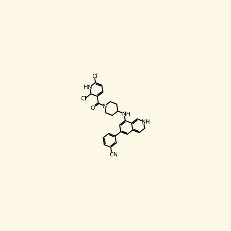 N#Cc1cccc(-c2cc(NC3CCN(C(=O)C4=CC=C(Cl)NC4Cl)CC3)c3c(c2)=CCNC=3)c1